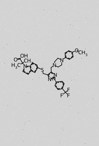 COc1ccc(N2CCN(Cc3nn(-c4ccc(C(F)(F)F)cc4)nc3CSc3ccc4c(ccn4C(C)(C)C(=O)O)c3)CC2)cc1